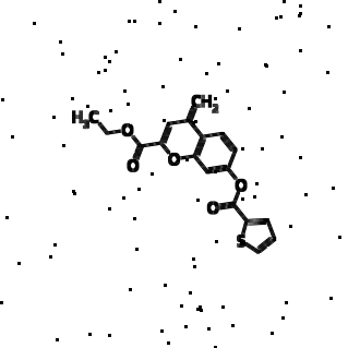 C=C1C=C(C(=O)OCC)Oc2cc(OC(=O)c3cccs3)ccc21